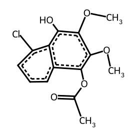 COc1c(OC)c(O)c2c(Cl)cccc2c1OC(C)=O